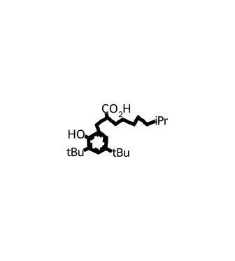 CC(C)CCCCCC(Cc1cc(C(C)(C)C)cc(C(C)(C)C)c1O)C(=O)O